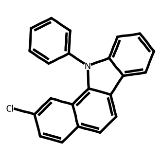 Clc1ccc2ccc3c4ccccc4n(-c4ccccc4)c3c2c1